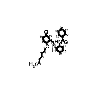 CCCCCCCOc1ccc(Cl)cc1CNc1ccccc1NC(=O)c1ccccc1